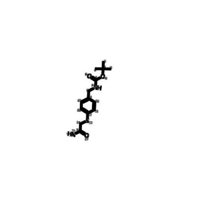 CC(C)(C)OC(=O)NCc1ccc(SCC([NH])=O)cc1